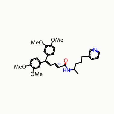 COc1ccc(C(=C/C=C/C(=O)NC(C)CCCc2cccnc2)c2ccc(OC)c(OC)c2)cc1OC